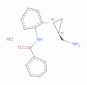 Cl.NC[C@@H]1C[C@H]1c1ccccc1NC(=O)c1ccccc1